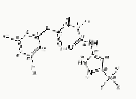 CC(NC(=O)Cc1cc(F)cc(F)c1)C(=O)Nc1cc(C(C)(C)C)n[nH]1